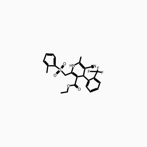 CCOC(=O)C1=C(CS(=O)(=O)c2ccccc2C)NC(C)=C(C#N)C1c1ccccc1C(F)(F)F